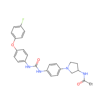 CCC(=O)NC1CCN(c2ccc(NC(=O)Nc3ccc(Oc4ccc(F)cc4)cc3)cc2)C1